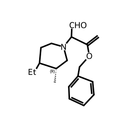 C=C(OCc1ccccc1)C(C=O)N1CCC(CC)[C@@H](C)C1